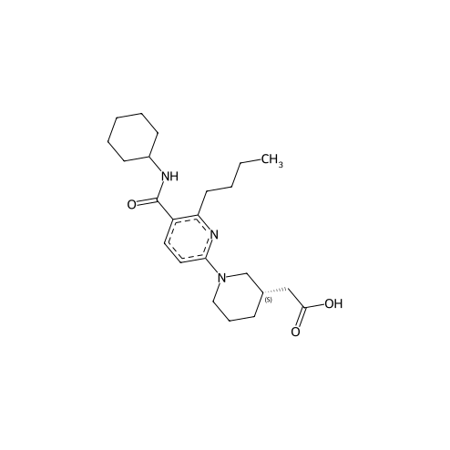 CCCCc1nc(N2CCC[C@@H](CC(=O)O)C2)ccc1C(=O)NC1CCCCC1